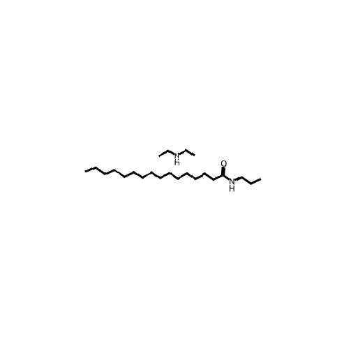 CCCCCCCCCCCCCCCC(=O)NCCC.CCNCC